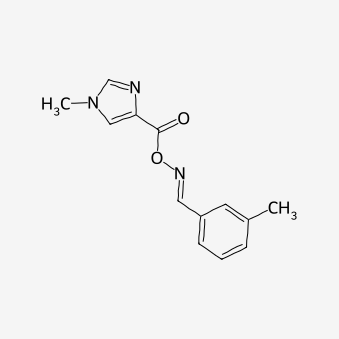 Cc1cccc(C=NOC(=O)c2cn(C)cn2)c1